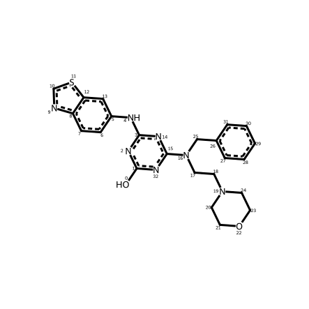 Oc1nc(Nc2ccc3ncsc3c2)nc(N(CCN2CCOCC2)Cc2ccccc2)n1